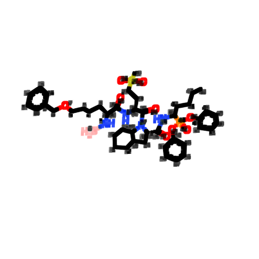 BN[C@@H](CCCCOCc1ccccc1)C(=O)N[C@@H](CCS(C)(=O)=O)C(=O)N1C2CCCCC2C[C@H]1C(=O)NC(CCCC)P(=O)(Oc1ccccc1)Oc1ccccc1